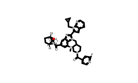 COc1cc(C(=O)N2C[C@H]3CC[C@@H]2[C@@H]3N)cc2nc(-c3cc4cccnc4n3CC3CC3)n(CC3CCN(C(=O)c4ccnc(F)c4)CC3)c12